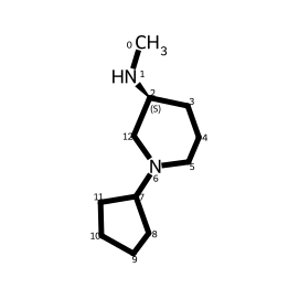 CN[C@H]1CCCN(C2CCCC2)C1